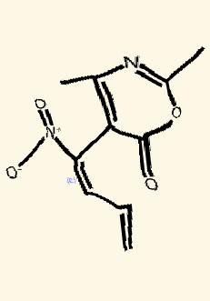 C=C/C=C(\c1c(C)nc(C)oc1=O)[N+](=O)[O-]